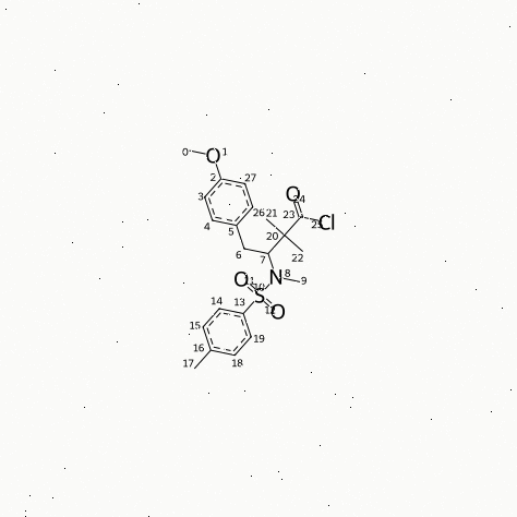 COc1ccc(CC(N(C)S(=O)(=O)c2ccc(C)cc2)C(C)(C)C(=O)Cl)cc1